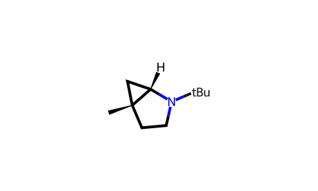 CC(C)(C)N1CC[C@]2(C)C[C@H]12